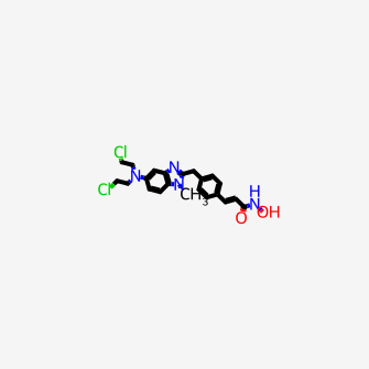 Cn1c(Cc2ccc(/C=C/C(=O)NO)cc2)nc2cc(N(CCCl)CCCl)ccc21